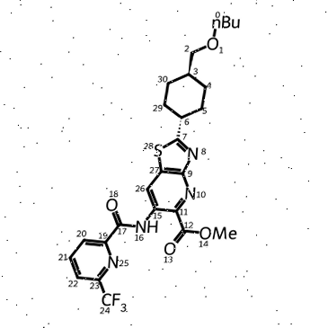 CCCCOC[C@H]1CC[C@H](c2nc3nc(C(=O)OC)c(NC(=O)c4cccc(C(F)(F)F)n4)cc3s2)CC1